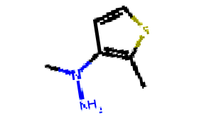 Cc1sccc1N(C)N